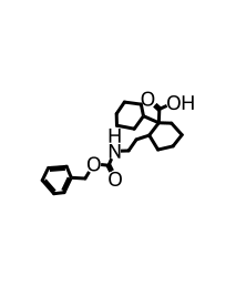 O=C(NCCC1CCCCC1(C(=O)O)C1CCCCC1)OCc1ccccc1